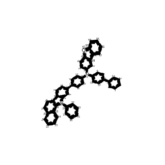 c1ccc(-c2ccc(N(c3ccc(-c4ccc5c6ccc7ccccc7c6n(-c6ccccc6)c5c4)cc3)c3ccc4oc5ccccc5c4c3)cc2)cc1